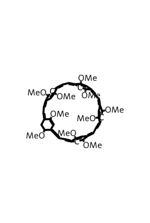 COC1=CC2=C\C=C3\CC(OC)/C(=C/C=C4/CC(OC)/C(=C/C=C5C=C(OC)/C(=C/C=C6\CC(OC)/C(=C\C=C/1CC\2OC)C=C6OC)CC/5OC)C=C4OC)C=C3OC